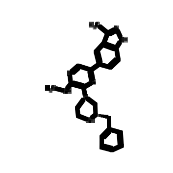 CNc1ncc(-c2ccc3[nH]nc(C)c3c2)nc1N1CCN[C@@H](Cc2ccccc2)C1